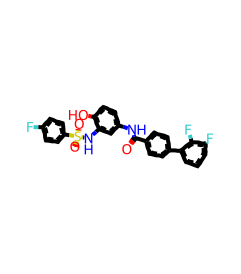 O=C(Nc1ccc(O)c(NS(=O)(=O)c2ccc(F)cc2)c1)c1ccc(-c2cccc(F)c2F)cc1